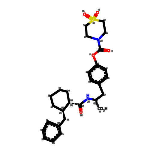 O=C(O)[C@H](Cc1ccc(OC(=O)N2CCS(=O)(=O)CC2)cc1)NC(=O)[C@H]1CCCC[C@@H]1Cc1ccccc1